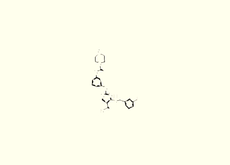 CN1CCN(C(=O)Nc2cccc(Nc3ncc(C(N)=O)c(NCc4cccc(F)c4)n3)c2)CC1